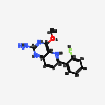 CCC(C)Oc1nc(N)nc2ccc(-c3ccccc3F)nc12